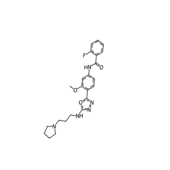 COc1cc(NC(=O)c2ccccc2F)ccc1-c1nnc(NCCCN2CCCC2)o1